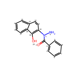 NN(C(=O)c1ccccc1)c1ccc2ccccc2c1O